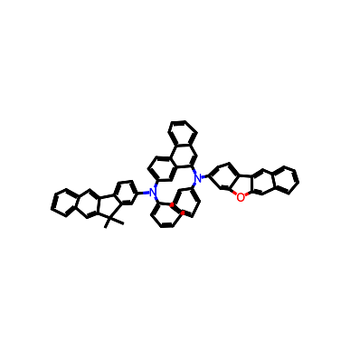 CC1(C)c2cc(N(c3ccccc3)c3ccc4c(c3)c(N(c3ccccc3)c3ccc5c(c3)oc3cc6ccccc6cc35)cc3ccccc34)ccc2-c2cc3ccccc3cc21